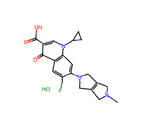 CN1CC2=C(C1)CN(c1cc3c(cc1F)c(=O)c(C(=O)O)cn3C1CC1)C2.Cl